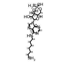 B[PH]1(O)OC[C@H]2O[C@@H](n3cnc4c(NCCCCCCN)ncnc43)C(O)[C@@H]2O1